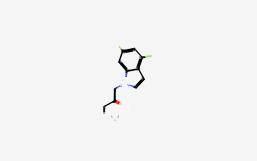 COCC(=O)Cn1ccc2c(F)cc(F)cc21